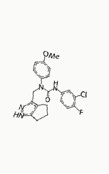 COc1ccc(N(Cc2n[nH]c3c2CCC3)C(=O)Nc2ccc(F)c(Cl)c2)cc1